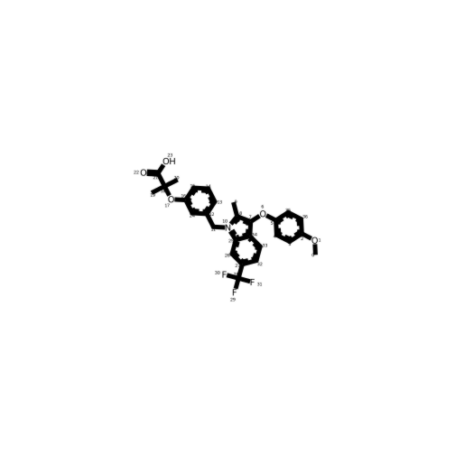 COc1ccc(Oc2c(C)n(Cc3cccc(OC(C)(C)C(=O)O)c3)c3cc(C(F)(F)F)ccc23)cc1